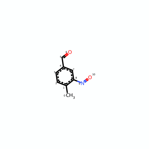 Cc1ccc(C=O)cc1N=O